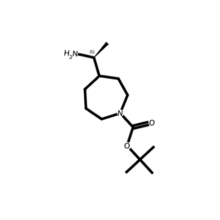 C[C@H](N)C1CCCN(C(=O)OC(C)(C)C)CC1